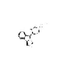 CNS(=O)(=O)N1CCC(C2c3ccccc3-c3cncn32)C(O)C1